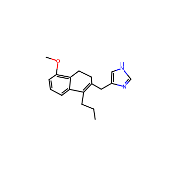 CCCC1=C(Cc2c[nH]cn2)CCc2c(OC)cccc21